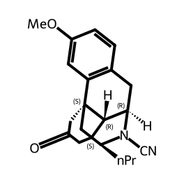 CCC[C@H]1CC(=O)C[C@]23CCN(C#N)[C@H](Cc4ccc(OC)cc42)[C@H]13